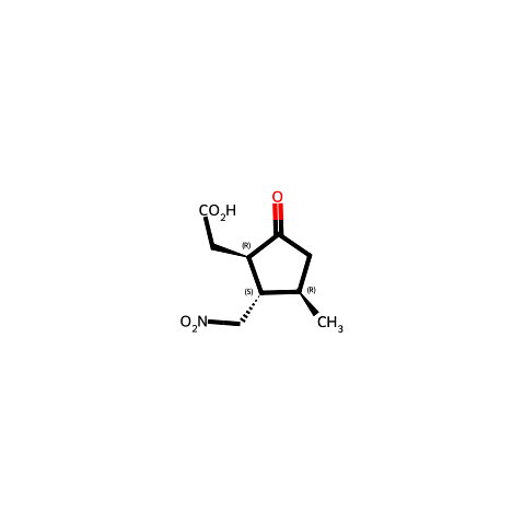 C[C@@H]1CC(=O)[C@H](CC(=O)O)[C@H]1C[N+](=O)[O-]